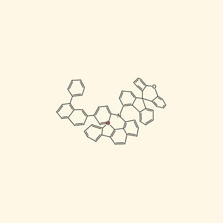 c1ccc(-c2cccc3ccc(-c4ccc(N(c5cccc6c5-c5ccccc5C65c6ccccc6Oc6ccccc65)c5cccc6ccc7c8ccccc8oc7c56)cc4)cc23)cc1